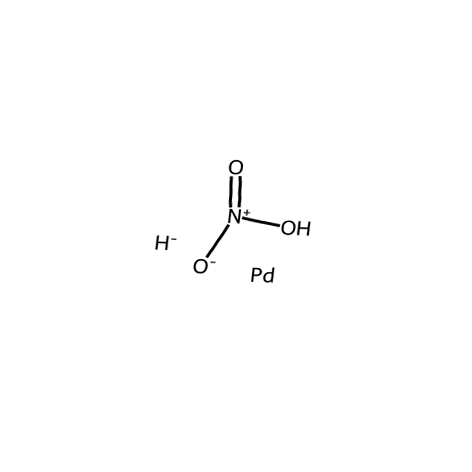 O=[N+]([O-])O.[H-].[Pd]